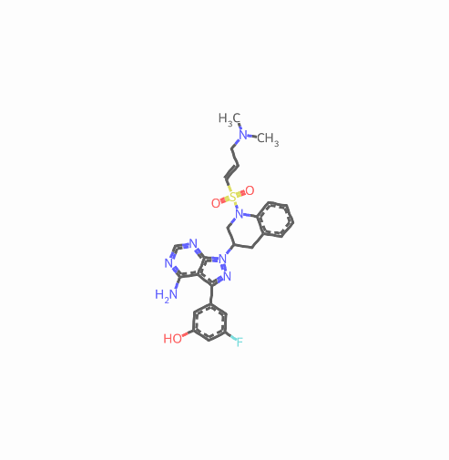 CN(C)CC=CS(=O)(=O)N1CC(n2nc(-c3cc(O)cc(F)c3)c3c(N)ncnc32)Cc2ccccc21